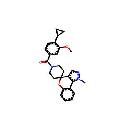 COc1cc(C(=O)N2CCC3(CC2)Oc2ccccc2-c2c3cnn2C)ccc1C1CC1